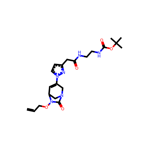 C=CCON1C(=O)N2CC(n3ccc(CC(=O)NCCNC(=O)OC(C)(C)C)n3)=CC1C2